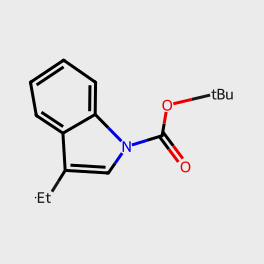 C[CH]c1cn(C(=O)OC(C)(C)C)c2ccccc12